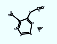 O=C([O-])Cc1cccnc1O.[Na+]